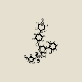 Cc1cccc(C)c1-c1cc(Oc2ccc(C3CCN(C)CC3)cc2)nc(NS(=O)(=O)c2cnn(C)c2)n1